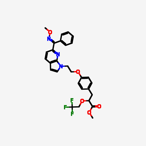 CON=C(c1ccccc1)c1ccc2ccn(CCOc3ccc(CC(OCC(F)(F)F)C(=O)OC)cc3)c2n1